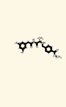 COC(=O)c1ccc(CN[C@@H](C)C(=O)NC(=O)Cc2cc(F)cc(F)c2)cc1